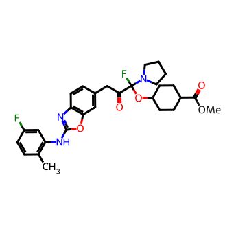 COC(=O)C1CCC(OC(F)(C(=O)Cc2ccc3nc(Nc4cc(F)ccc4C)oc3c2)N2CCCC2)CC1